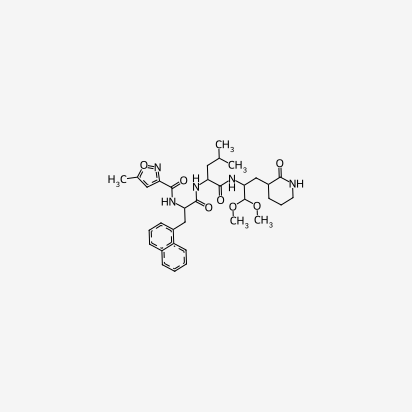 COC(OC)C(CC1CCCNC1=O)NC(=O)C(CC(C)C)NC(=O)C(Cc1cccc2ccccc12)NC(=O)c1cc(C)on1